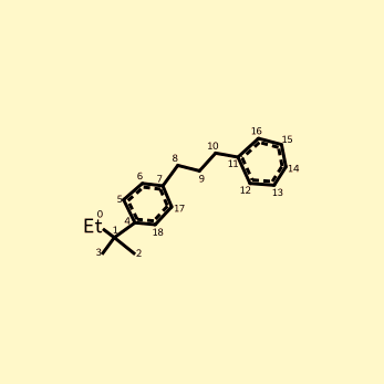 CCC(C)(C)c1ccc(CCCc2ccccc2)cc1